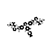 COC(=O)N[C@H](C(=O)N1CCC[C@H]1c1nc2c([nH]1)=CCC([C@H]1CC[C@H](c3ccc4[nH]c([C@@H]5CCCN5C(=O)[C@@H](NC(=O)OC)C(C)C)nc4c3)N1c1cc(F)c(N3CCC4(CC3)CC4)c(F)c1)C=2)C(C)C